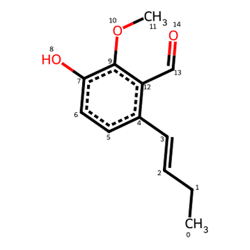 CC/C=C/c1ccc(O)c(OC)c1C=O